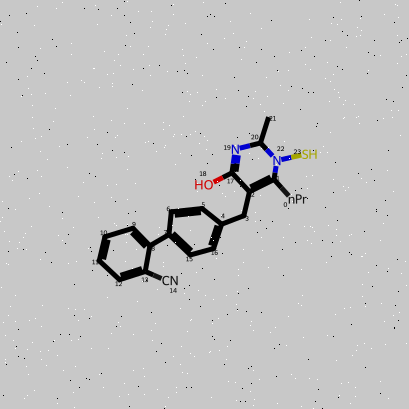 CCCC1=C(Cc2ccc(-c3ccccc3C#N)cc2)C(O)=NC(C)N1S